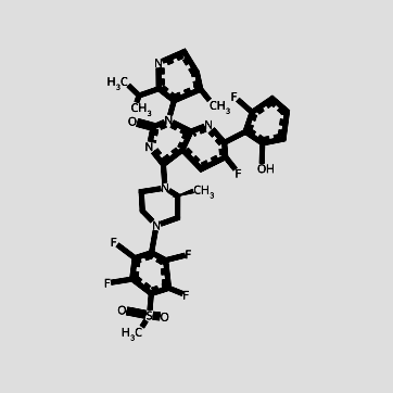 Cc1ccnc(C(C)C)c1-n1c(=O)nc(N2CCN(c3c(F)c(F)c(S(C)(=O)=O)c(F)c3F)C[C@@H]2C)c2cc(F)c(-c3c(O)cccc3F)nc21